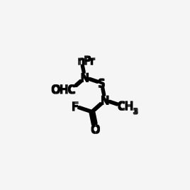 CCCN(C=O)SN(C)C(=O)F